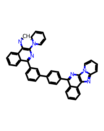 C=Nc1c(N2C=CC=CC2)nc(-c2cccc(-c3ccc(-c4nc5c(nc6ccccn65)c5ccccc45)cc3)c2)c2ccccc12